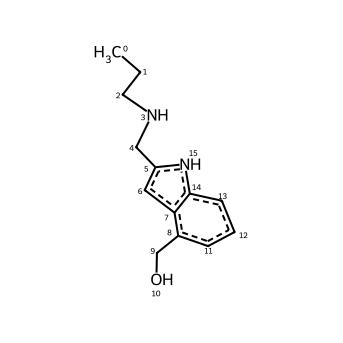 CCCNCc1cc2c(CO)cccc2[nH]1